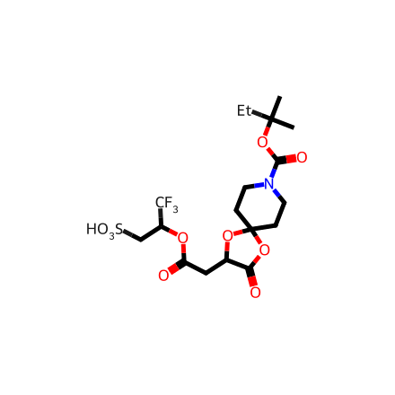 CCC(C)(C)OC(=O)N1CCC2(CC1)OC(=O)C(CC(=O)OC(CS(=O)(=O)O)C(F)(F)F)O2